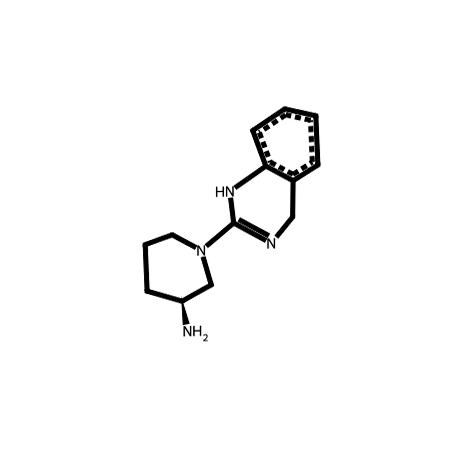 N[C@H]1CCCN(C2=NCc3ccccc3N2)C1